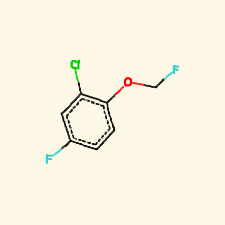 FCOc1ccc(F)cc1Cl